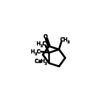 CC12CCC(CC1=O)C2(C)C.[CaH2]